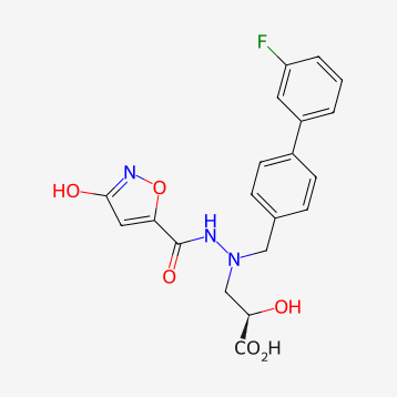 O=C(NN(Cc1ccc(-c2cccc(F)c2)cc1)C[C@@H](O)C(=O)O)c1cc(O)no1